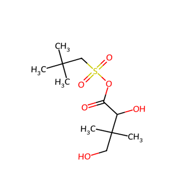 CC(C)(C)CS(=O)(=O)OC(=O)C(O)C(C)(C)CO